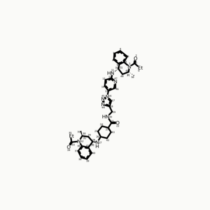 CCC(=O)N1c2ccccc2[C@@H](Nc2ccc(-n3cc(CNC(=O)C4CCC(N[C@@H]5C[C@H](C)N(C(=O)CC)c6ccccc65)CC4)nn3)cn2)C[C@H]1C